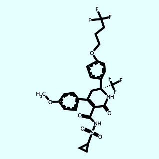 COc1ccc(C2=C(C(=O)NS(=O)(=O)C3CC3)C(=O)N[C@@](c3ccc(OCCCC(F)(F)F)cc3)(C(F)(F)F)C2)cc1